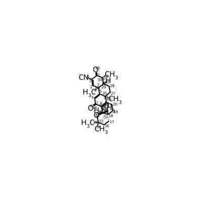 [C-]#[N+]C1=C[C@]2(C)C3=CC(=O)[C@@]4(C)[C@@H]5CC(C)(C)CC[C@]56CC[C@]4(OC6=O)[C@]3(C)CC[C@H]2[C@H](C)C1=O